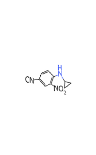 [C-]#[N+]c1ccc(NC2CC2)c([N+](=O)[O-])c1